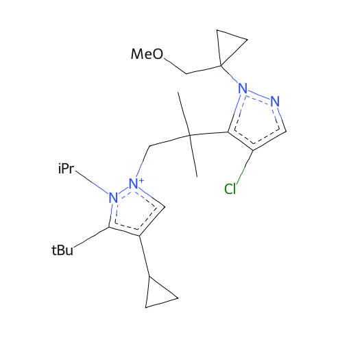 COCC1(n2ncc(Cl)c2C(C)(C)C[n+]2cc(C3CC3)c(C(C)(C)C)n2C(C)C)CC1